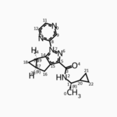 C[C@@H](NC(=O)c1nn(-c2cnccn2)c2c1C[C@H]1C[C@@H]21)C1CC1